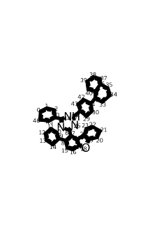 c1ccc(C2=NC(c3c(-c4ccccc4)ccc4oc5ccccc5c34)=NC(c3ccc(-c4cccc5ccccc45)cc3)N2)cc1